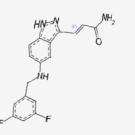 NC(=O)/C=C/c1n[nH]c2ccc(NCc3cc(F)cc(F)c3)cc12